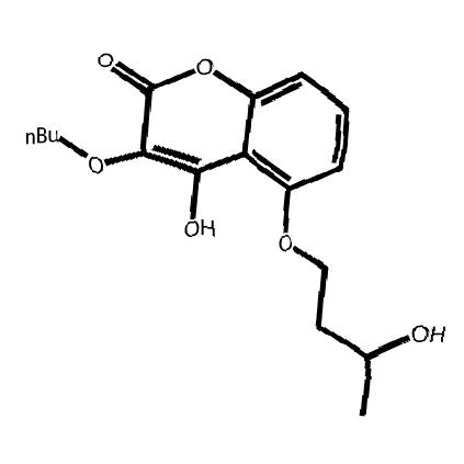 CCCCOc1c(O)c2c(OCCC(C)O)cccc2oc1=O